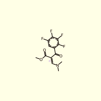 COC(=O)/C(=C/N(C)C)C(=O)c1cc(F)c(F)c(F)c1F